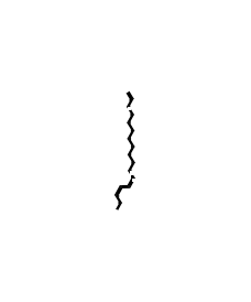 C=CCCCCCCCCC/C=C\C=C/CC